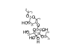 CC(C)O[C@@H]1OC(C)[C@@H](O[C@@H]2OC(CO)C(O)(O)[C@H](OC(C)C)C2O)CC1O